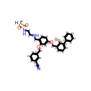 CS(=O)(=O)NCCNCc1ccc(OCc2cccc(-c3ccccc3)c2Br)cc1OCc1cccc(C#N)c1